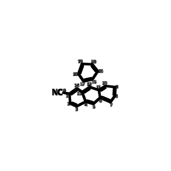 N#Cc1ccc2cc3ccccc3cc2c1.c1ccccc1